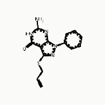 C=CCSc1nn(-c2ccccc2)c2nc(N)[nH]c(=O)c12